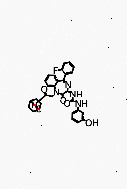 O=C(Nc1cccc(O)c1)NC1N=C(c2ccccc2F)c2ccccc2N(CC(=O)N2CC3CCC(CC3)C2)C1=O